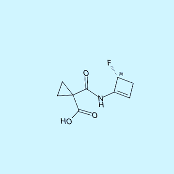 O=C(O)C1(C(=O)NC2=CC[C@H]2F)CC1